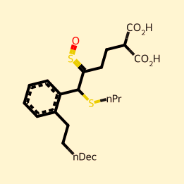 CCCCCCCCCCCCc1ccccc1C(SCCC)C(CCC(C(=O)O)C(=O)O)=S=O